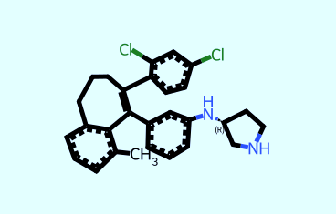 Cc1cccc2c1C(c1cccc(N[C@@H]3CCNC3)c1)=C(c1ccc(Cl)cc1Cl)CCC2